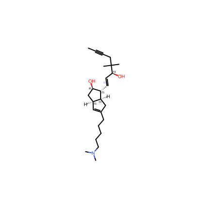 CC#CCC(C)(C)[C@@H](O)/C=C/[C@@H]1[C@H]2CC(CCCCCN(C)C)=C[C@H]2C[C@H]1O